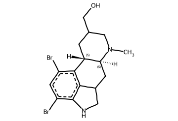 CN1CC(CO)C[C@H]2c3c(Br)cc(Br)c4c3C(CN4)C[C@@H]21